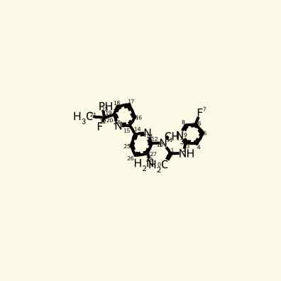 C=C(Nc1ccc(F)cn1)N(C)c1nc(-c2cccc(C(C)(F)P)n2)ccc1N